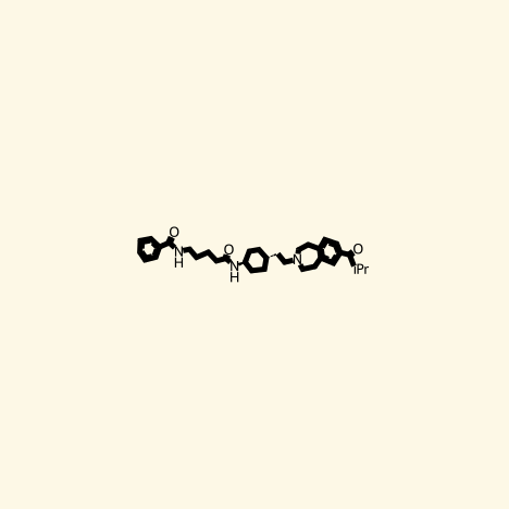 CC(C)C(=O)c1ccc2c(c1)CCN(CC[C@H]1CC[C@H](NC(=O)CCCCNC(=O)c3ccccc3)CC1)CC2